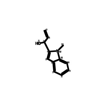 C=CC(O)c1cc2ccccc2n1C